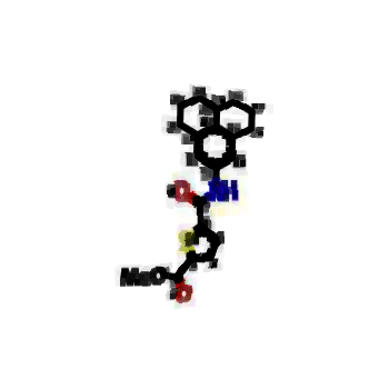 COC(=O)c1ccc(C(=O)Nc2cc3c4c(c2)CCCC4(C)CCC3)s1